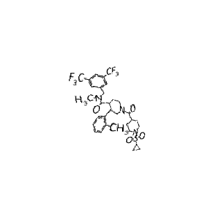 Cc1ccccc1C1CN(C(=O)C2CCN(S(=O)(=O)C3CC3)CC2)CCC1C(=O)N(C)Cc1cc(C(F)(F)F)cc(C(F)(F)F)c1